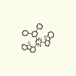 c1ccc(-c2cc(-c3ccccc3)cc(-c3cc(-c4cccc5c4sc4ccccc45)nc(-c4cccc5c4sc4ccccc45)n3)c2)cc1